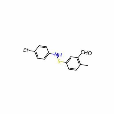 CCc1ccc(NSc2ccc(C)c(C=O)c2)cc1